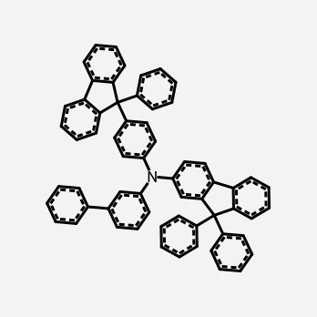 c1ccc(-c2cccc(N(c3ccc(C4(c5ccccc5)c5ccccc5-c5ccccc54)cc3)c3ccc4c(c3)C(c3ccccc3)(c3ccccc3)c3ccccc3-4)c2)cc1